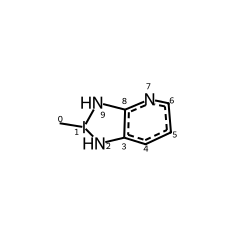 CI1Nc2cccnc2N1